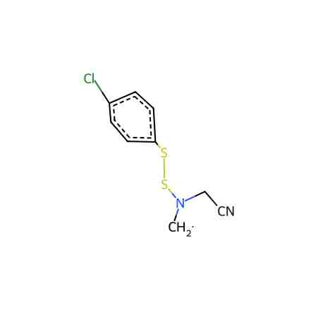 [CH2]N(CC#N)SSc1ccc(Cl)cc1